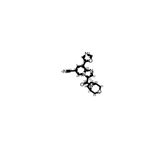 N#Cc1cc(-c2cnco2)c2ncc(C(=O)N3C4CCC3COC4)n2c1